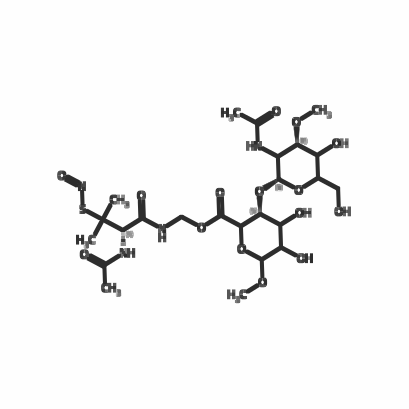 COC1OC(C(=O)OCNC(=O)[C@H](NC(C)=O)C(C)(C)SN=O)[C@@H](O[C@@H]2OC(CO)C(O)[C@H](OC)C2NC(C)=O)C(O)C1O